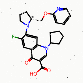 O=C(O)c1cn(C2CCCC2)c2cc(N3CCC[C@@H]3COc3ccccn3)c(F)cc2c1=O